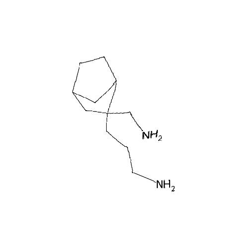 NCCCC1(CN)CC2CCC1C2